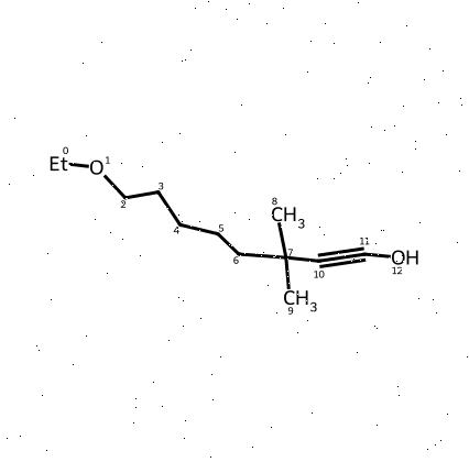 CCOCCCCCC(C)(C)C#CO